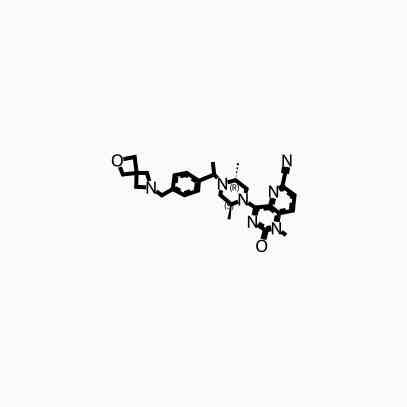 CC(c1ccc(CN2CC3(COC3)C2)cc1)N1C[C@H](C)N(c2nc(=O)n(C)c3ccc(C#N)nc23)C[C@H]1C